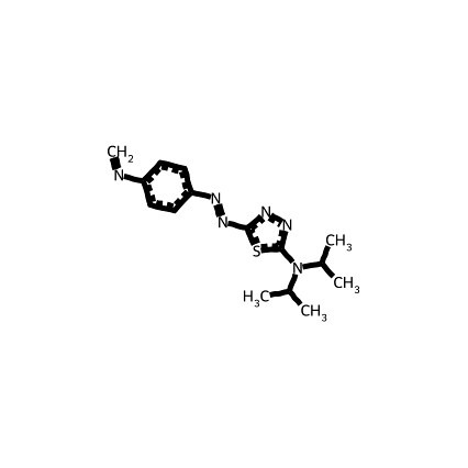 C=Nc1ccc(/N=N/c2nnc(N(C(C)C)C(C)C)s2)cc1